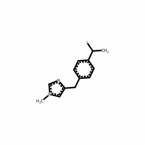 CC(I)c1ccc(Cc2cn(C)cn2)cc1